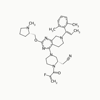 C=C(F)C(=O)N1CCN(c2nc(OC[C@@H]3CCCN3C)nc3c2CCN(/C(=C/C)c2c(C)cccc2C)C3)C[C@@H]1CC#N